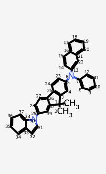 CC1(C)c2cc(N(c3ccccc3)c3ccc4ccccc4c3)ccc2-c2ccc(-n3ccc4ccccc43)cc21